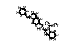 CCCC(=O)n1c(NCc2ccc3c(ccn3Cc3ccccc3)c2)nc2ccccc21